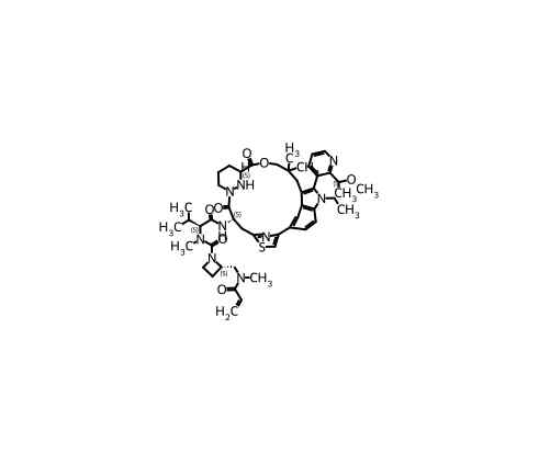 C=CC(=O)N(C)C[C@@H]1CCN1C(=O)N(C)[C@H](C(=O)N[C@H]1Cc2nc(cs2)-c2ccc3c(c2)c(c(-c2cccnc2[C@H](C)OC)n3CC)CC(C)(C)COC(=O)[C@@H]2CCCN(N2)C1=O)C(C)C